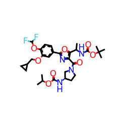 CC(C)OC(=O)N[C@@H]1CCN(C(=O)c2nc(-c3ccc(OC(F)F)c(OCC4CC4)c3)oc2C(C)NC(=O)OC(C)(C)C)C1